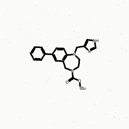 CC(C)(C)OC(=O)N1CCN(Cc2c[nH]cn2)c2ccc(-c3ccccc3)cc2C1